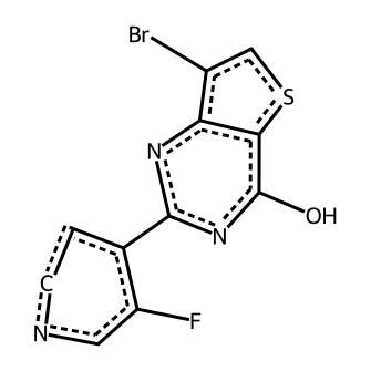 Oc1nc(-c2ccncc2F)nc2c(Br)csc12